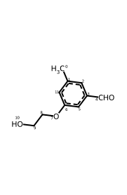 Cc1cc(C=O)cc(OCCO)c1